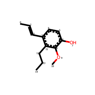 CC=Cc1ccc(O)c(OC)c1CCC